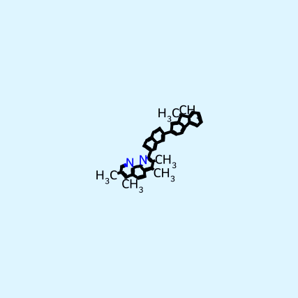 Cc1cnc2c(ccc3c(C)c(C)c(-c4ccc5ccc(-c6ccc7c(c6)C(C)(C)c6ccccc6-7)cc5c4)nc32)c1C